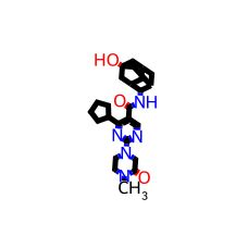 CN1CCN(c2ncc(C(=O)NC3C4CC5CC3CC(O)(C5)C4)c(C3CCCC3)n2)CC1=O